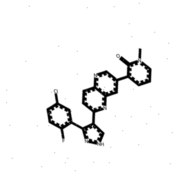 Cn1cccc(-c2cnc3ccc(-c4c[nH]nc4-c4cc(Cl)ccc4F)nc3c2)c1=O